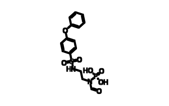 O=CN(CCNS(=O)(=O)c1ccc(Oc2ccccc2)cc1)P(=O)(O)O